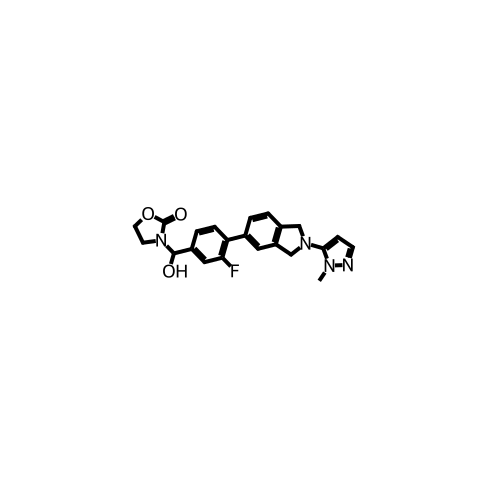 Cn1nccc1N1Cc2ccc(-c3ccc(C(O)N4CCOC4=O)cc3F)cc2C1